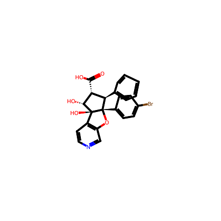 O=C(O)[C@H]1[C@@H](O)[C@@]2(O)c3ccncc3O[C@@]2(c2ccc(Br)cc2)[C@@H]1c1ccccc1